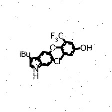 CCC(C)c1c[nH]c2ccc(Oc3c(Cl)cc(O)cc3C(F)(F)F)cc12